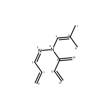 C=C/C=N\N(C=C(C)C)C(=C)C=C